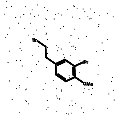 COc1ccc(CCBr)cc1C(C)C